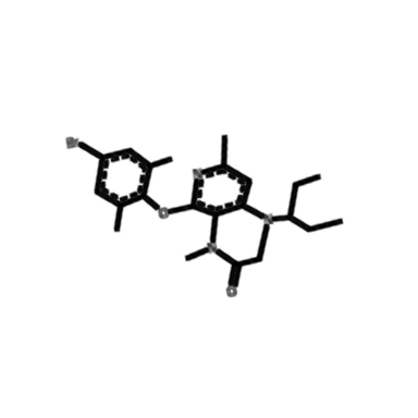 CCC(CC)N1CC(=O)N(C)c2c1cc(C)nc2Oc1c(C)cc(Br)cc1C